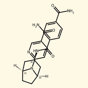 NC(=O)c1ccc(C(=O)N[C@H]2C[C@H]3CC[C@@H](C2)N3c2ccc(C(N)=O)cn2)cc1